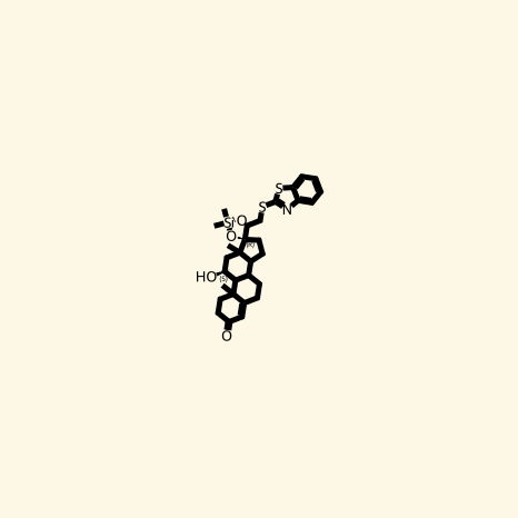 CC12CCC(=O)C=C1CCC1C2[C@@H](O)CC2(C)C1CC[C@]2(O[Si](C)(C)C)C(=O)CSc1nc2ccccc2s1